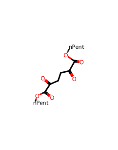 CCCCCOC(=O)C(=O)CCC(=O)C(=O)OCCCCC